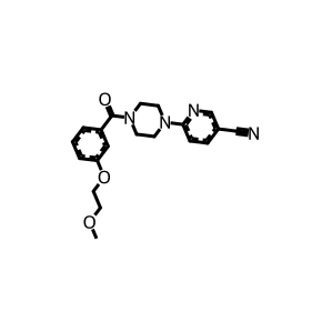 COCCOc1cccc(C(=O)N2CCN(c3ccc(C#N)cn3)CC2)c1